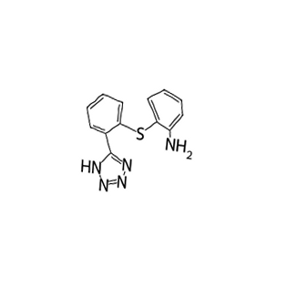 Nc1ccccc1Sc1ccccc1-c1nnn[nH]1